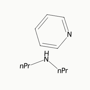 CCCNCCC.c1ccncc1